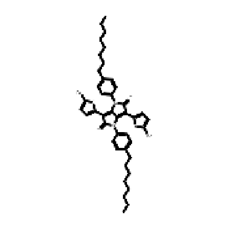 CCCCCCCCc1ccc(N2C(=O)C(c3ccc(Br)s3)=C3C2=C(c2ccc(Br)s2)C(=O)N3c2ccc(CCCCCCCC)cc2)cc1